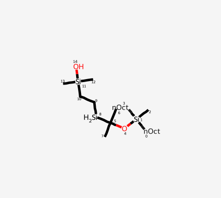 CCCCCCCC[Si](C)(CCCCCCCC)OC(C)(C)[SiH2]CC[Si](C)(C)O